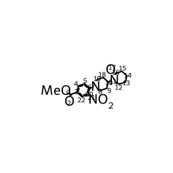 COC(=O)c1ccc(N2CCC(N3CCCCC3=O)CC2)c([N+](=O)[O-])c1